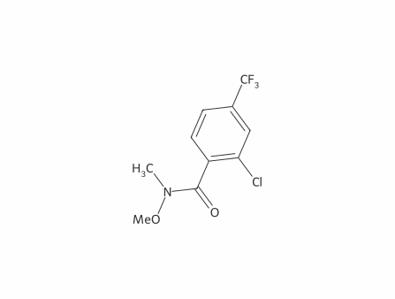 CON(C)C(=O)c1ccc(C(F)(F)F)cc1Cl